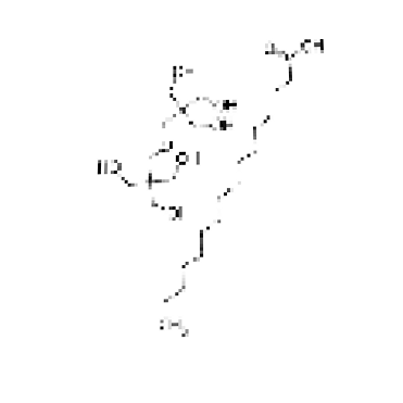 CCCCCCCCCCCCCCCC(=O)O.OCC(CO)(CO)COCC(CO)(CO)CO